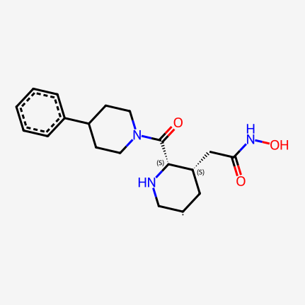 O=C(C[C@@H]1C[CH]CN[C@@H]1C(=O)N1CCC(c2ccccc2)CC1)NO